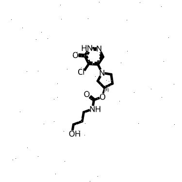 O=C(NCCCO)O[C@@H]1CCN(c2cn[nH]c(=O)c2Cl)C1